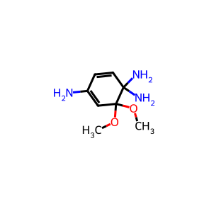 COC1(OC)C=C(N)C=CC1(N)N